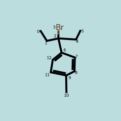 CCC(Br)(CC)c1ccc(C)cc1